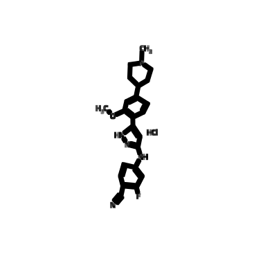 COc1cc(C2CCN(C)CC2)ccc1-c1cc(Nc2ccc(C#N)c(F)c2)n[nH]1.Cl